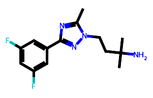 Cc1nc(-c2cc(F)cc(F)c2)nn1CCC(C)(C)N